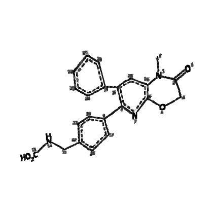 CN1C(=O)COc2nc(-c3ccc(CNC(=O)O)cc3)c(-c3ccccc3)cc21